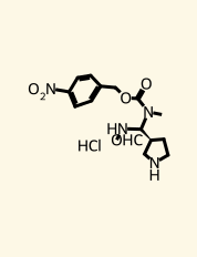 CN(C(=O)OCc1ccc([N+](=O)[O-])cc1)C(NC=O)[C@H]1CCNC1.Cl